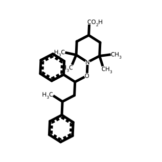 CC(CC(ON1C(C)(C)CC(C(=O)O)CC1(C)C)c1ccccc1)c1ccccc1